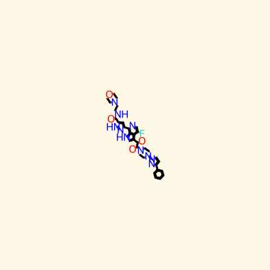 O=C(NCCN1CCOCC1)c1cc(-c2ncc(F)c3c(C(=O)C(=O)N4CCN(n5ccc(-c6ccccc6)n5)CC4)c[nH]c23)n[nH]1